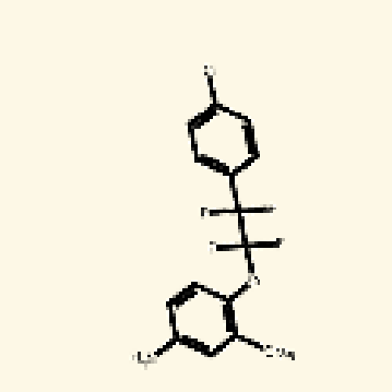 COc1cc(N)ccc1OC(F)(F)C(F)(F)c1ccc(Cl)cc1